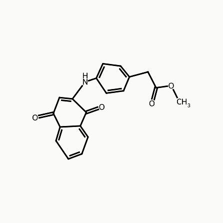 COC(=O)Cc1ccc(NC2=CC(=O)c3ccccc3C2=O)cc1